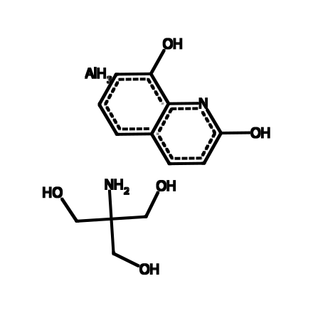 NC(CO)(CO)CO.Oc1ccc2cccc(O)c2n1.[AlH3]